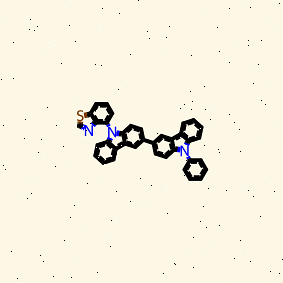 c1ccc(-n2c3ccccc3c3cc(-c4ccc5c(c4)c4ccccc4n5-c4cccc5scnc45)ccc32)cc1